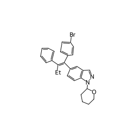 CC/C(=C(/c1ccc(Br)cc1)c1ccc2c(cnn2C2CCCCO2)c1)c1ccccc1